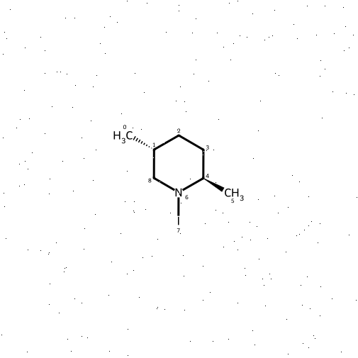 C[C@@H]1CC[C@@H](C)N(I)C1